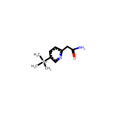 [CH3][Sn]([CH3])([CH3])[c]1ccc(CC(N)=O)nc1